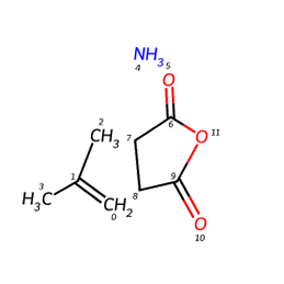 C=C(C)C.N.O=C1CCC(=O)O1